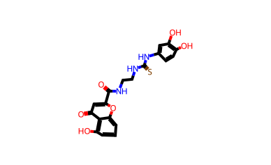 O=C(NCCNC(=S)Nc1ccc(O)c(O)c1)c1cc(=O)c2c(O)cccc2o1